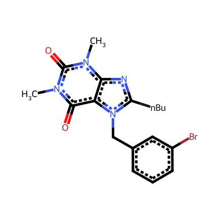 CCCCc1nc2c(c(=O)n(C)c(=O)n2C)n1Cc1cccc(Br)c1